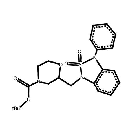 CC(C)(C)OC(=O)N1CCOC(CN2c3ccccc3N(c3ccccc3)S2(=O)=O)C1